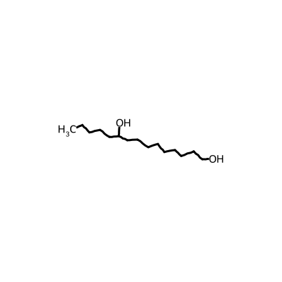 CCCCCC(O)CCCCCCCCCO